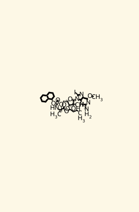 CCCCOC(=O)[C@H](C)NP(=O)(OC[C@H]1O[C@@H](n2c(I)nc3c(OC)nc(N)nc32)[C@](C)(O)[C@@H]1O)Oc1cccc2ccccc12